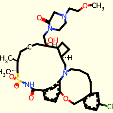 COCCN1CCN(C[C@@]2(O)CCC[C@H](C)[C@@H](C)S(=O)(=O)NC(=O)c3ccc4c(c3)N(CCCCc3cc(Cl)ccc3CO4)C[C@@H]3CC[C@H]32)C(=O)C1